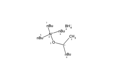 CCCCC(C)O[N+](CCCC)(CCCC)CCCC.[BH4-]